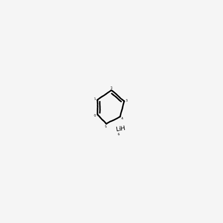 [C]1=CC=CCC1.[LiH]